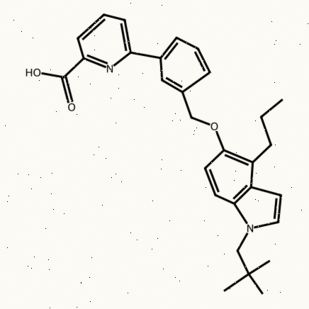 CCCc1c(OCc2cccc(-c3cccc(C(=O)O)n3)c2)ccc2c1ccn2CC(C)(C)C